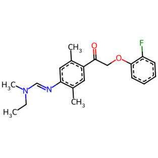 CCN(C)/C=N/c1cc(C)c(C(=O)COc2ccccc2F)cc1C